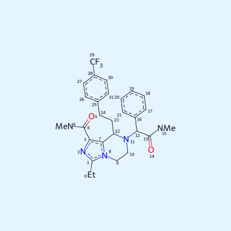 CCc1nc(C(=O)NC)c2n1CCN(C(C(=O)NC)c1ccccc1)C2CCc1ccc(C(F)(F)F)cc1